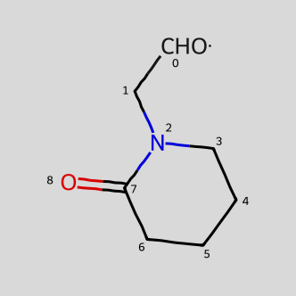 O=[C]CN1CCCCC1=O